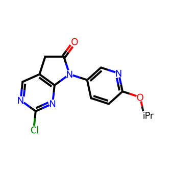 CC(C)Oc1ccc(N2C(=O)Cc3cnc(Cl)nc32)cn1